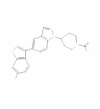 O=C(O)N1CCC(n2ncc3cc(-c4c[nH]c5cc(F)ccc45)ccc32)CC1